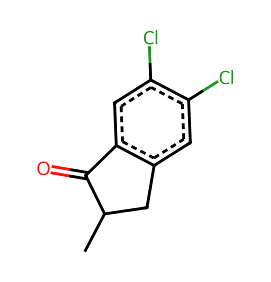 CC1Cc2cc(Cl)c(Cl)cc2C1=O